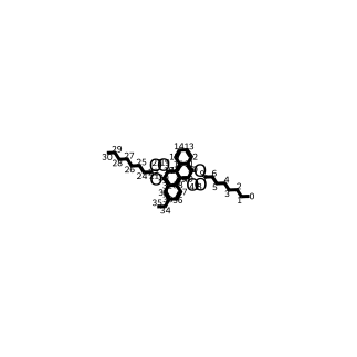 CCCCCCCC(=O)OC1=c2ccccc2=C2C(=O)C(OC(=O)CCCCCCC)=c3cc(CC)ccc3=C2C1=O